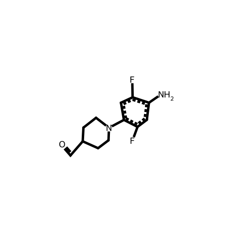 Nc1cc(F)c(N2CCC(C=O)CC2)cc1F